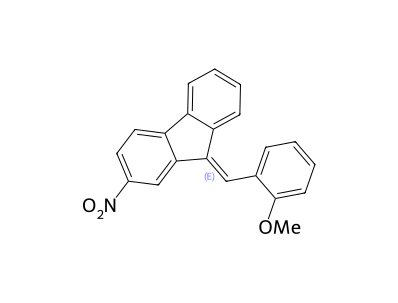 COc1ccccc1/C=C1\c2ccccc2-c2ccc([N+](=O)[O-])cc21